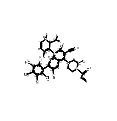 C=CC(=O)N1CCN(c2c(C#N)c(=O)n(C3=C(C)C=CN(C)C3C(C)C)c3nc(-c4c(Cl)c(O)c(Cl)c(Cl)c4Cl)c(Cl)cc23)C[C@H]1C